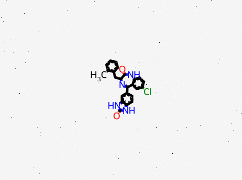 Cc1ccccc1CC1N=C(c2ccc3[nH]c(=O)[nH]c3c2)c2cc(Cl)ccc2NC1=O